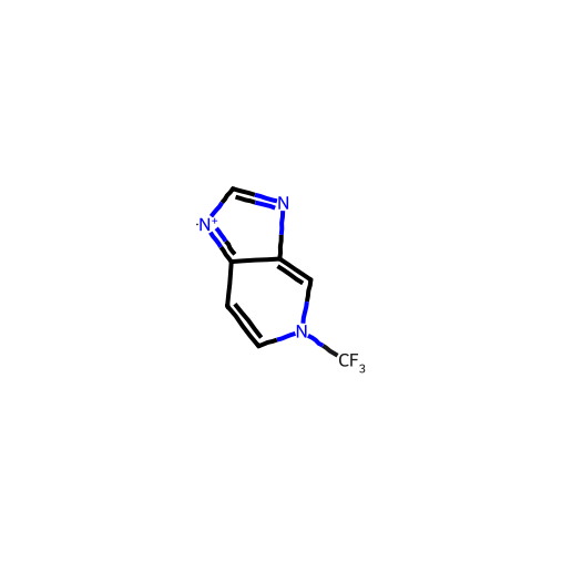 FC(F)(F)N1C=CC2=[N+]C=NC2=C1